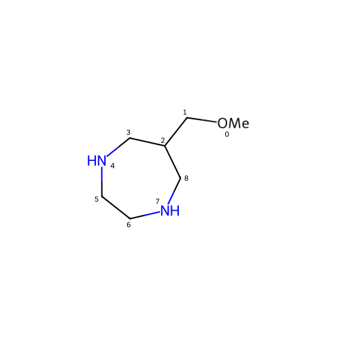 COCC1CNCCNC1